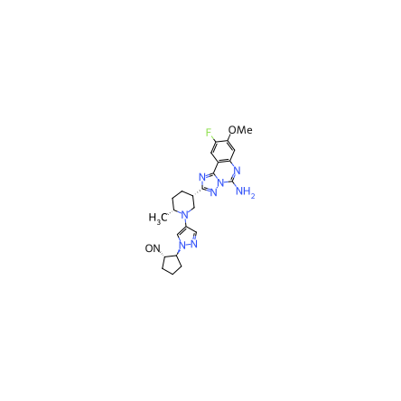 COc1cc2nc(N)n3nc([C@H]4CC[C@@H](C)N(c5cnn([C@H]6CCC[C@@H]6N=O)c5)C4)nc3c2cc1F